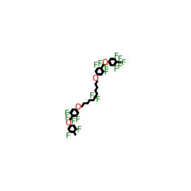 Cc1c(F)cc(OC(F)(F)c2c(F)cc(OCCCCCC(F)(F)CCCCCOc3cc(F)c(C(F)(F)Oc4cc(F)c(C(F)(F)F)c(F)c4)c(F)c3)cc2F)cc1F